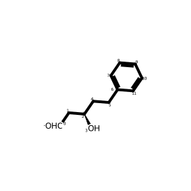 O=[C]C[C@H](O)CCc1ccccc1